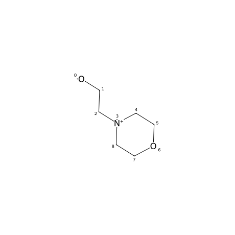 [O]CC[N+]1CCOCC1